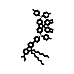 CCCCCCCCC1(CCCCCCCC)c2cc(-c3ccc(N(c4ccc(C)cc4)c4ccc5c(c4)C(c4ccc6c(c4)CC6)(c4ccc6c(c4)CC6)c4cc(N(C6=CCC(C)C=C6)c6ccc(C)cc6)ccc4-5)cc3)ccc2-c2ccc(C(C)CC)cc21